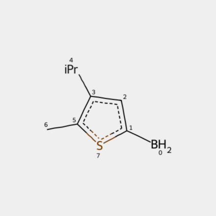 Bc1cc(C(C)C)c(C)s1